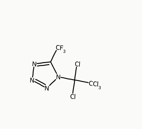 FC(F)(F)c1nnnn1C(Cl)(Cl)C(Cl)(Cl)Cl